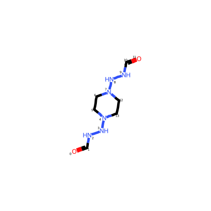 O=CNNN1CCN(NNC=O)CC1